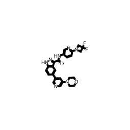 O=C(Nc1ccc(N2CC(F)(F)C2)nc1)c1n[nH]c2ccc(-c3cncc(N4CCOCC4)c3)cc12